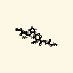 CCCOC(=O)CNC(=O)C(=O)C(CCC)NC(=O)[C@@H]1CCCN1C[C@@H](NC(=O)OCC(C)C)C(C)C